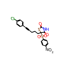 O=C1NC(=O)C(CCCC#Cc2ccc(Cl)cc2)(S(=O)(=O)c2ccc([N+](=O)[O-])cc2)S1